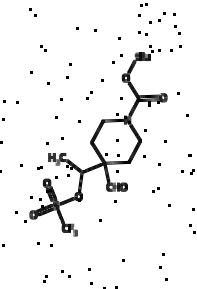 CC(OS(=O)(=O)C(F)(F)F)C1(C=O)CCN(C(=O)OC(C)(C)C)CC1